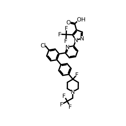 O=C(O)c1cnn(-c2cccc(-c3cc(Cl)ccc3-c3ccc(C4(F)CCN(CC(F)(F)F)CC4)cc3)n2)c1C(F)(F)F